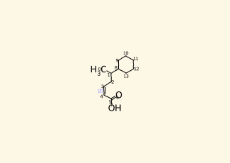 CC(C/C=C\C(=O)O)C1CCCCC1